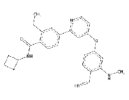 CCc1cc(-c2cc(Oc3ccc(C=N)c(NC)c3)ccn2)ccc1C(=O)NC1CCC1